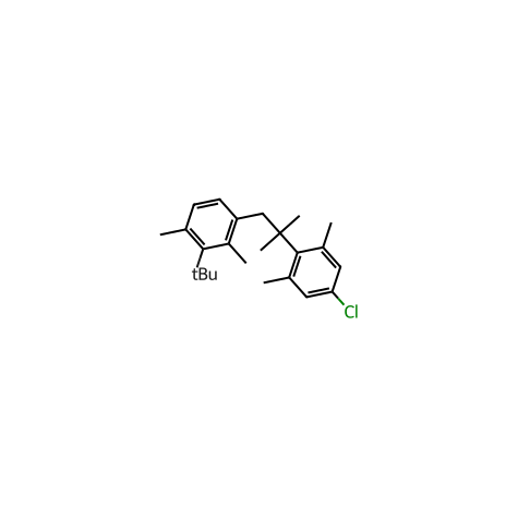 Cc1ccc(CC(C)(C)c2c(C)cc(Cl)cc2C)c(C)c1C(C)(C)C